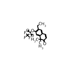 CCc1cc2c(cc1OS(=O)(=O)C(F)(F)F)C(C)(C)C(=O)C=C2